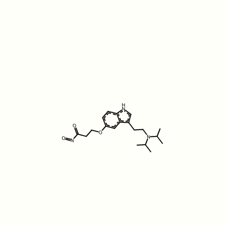 CC(C)N(CCc1c[nH]c2ccc(OCCC(=O)N=O)cc12)C(C)C